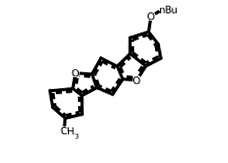 CCCCOc1ccc2oc3cc4c(cc3c2c1)oc1ccc(C)cc14